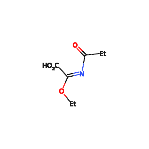 CCOC(=NC(=O)CC)C(=O)O